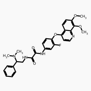 COc1ccc2c(Oc3ccc(NC(=O)C(=O)NCC(c4ccccc4)N(C)C)cc3F)ccnc2c1OC